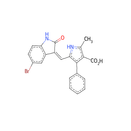 Cc1[nH]c(C=C2C(=O)Nc3ccc(Br)cc32)c(-c2ccccc2)c1C(=O)O